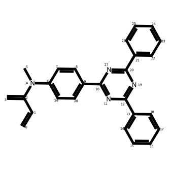 C=CC(=C)N(C)c1ccc(-c2nc(-c3ccccc3)nc(-c3ccccc3)n2)cc1